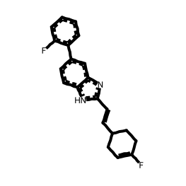 FC1=CCC(C=Cc2nc3cc(-c4ccccc4F)ccc3[nH]2)CC1